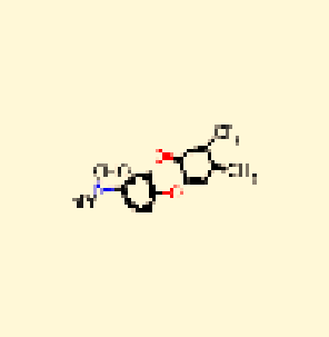 C=C1C=C(Oc2ccc(N(C=O)CCC)cc2)C(=O)C=C1C(F)(F)F